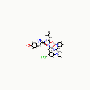 CCN(CC)c1cccc2c1N(Cc1ccccn1)C(=O)C(NC(=O)[C@@H](CC(C)C)NC(=O)C(N)Cc1ccc(O)cc1)C2.Cl